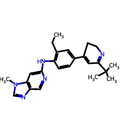 CCc1cc(C2=CC(C(C)(C)C)=NCC2)ccc1Nc1cc2c(cn1)ncn2C